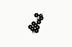 c1ccc(C2CSc3ccc4c(oc5cc(-c6c7ccccc7c(-c7c8ccccc8cc8oc9ccccc9c78)c7ccccc67)ccc54)c32)cc1